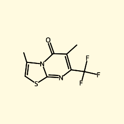 Cc1c(C(F)(F)F)nc2scc(C)n2c1=O